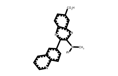 CC(C)N(C)c1nc2cc(C(=O)O)ccc2nc1-c1ccc2ncccc2c1